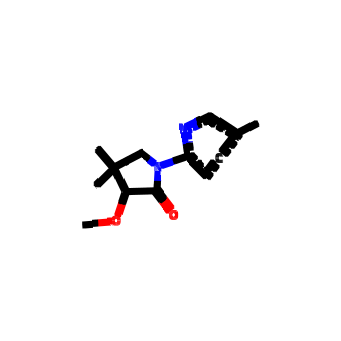 COC1C(=O)N(c2ccc(C)cn2)CC1(C)C